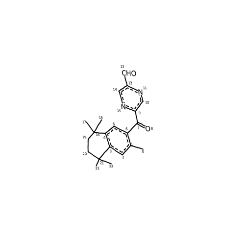 Cc1cc2c(cc1C(=O)c1cnc(C=O)cn1)C(C)(C)CCC2(C)C